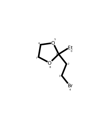 CCC1(CCBr)OCCO1